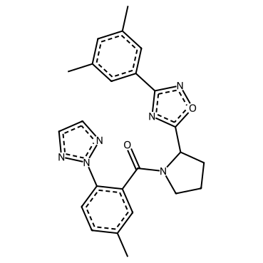 Cc1cc(C)cc(-c2noc(C3CCCN3C(=O)c3cc(C)ccc3-n3nccn3)n2)c1